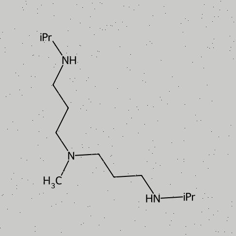 CC(C)NCCCN(C)CCCNC(C)C